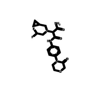 NC(=O)C(C(=O)Nc1ccc(N2CCOCC2=O)cc1)N(CC(F)F)CC1CC1